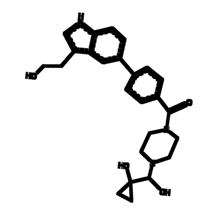 O=C(c1ccc(-c2ccc3[nH]cc(CCO)c3c2)cc1)N1CCN(C(O)C2(O)CC2)CC1